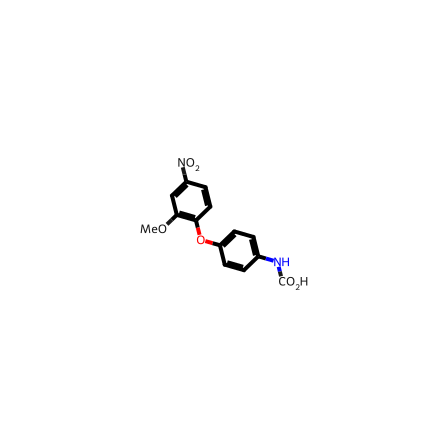 COc1cc([N+](=O)[O-])ccc1Oc1ccc(NC(=O)O)cc1